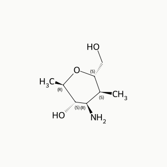 C[C@H]1[C@@H](N)[C@H](O)[C@@H](C)O[C@@H]1CO